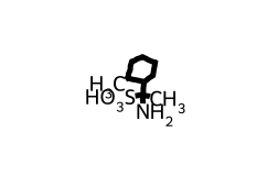 CC1CCCCC1C(C)(N)S(=O)(=O)O